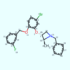 C[C@H]1[C@H](Oc2cc(Br)ccc2OCc2cccc(F)c2)CN1Cc1ccccc1